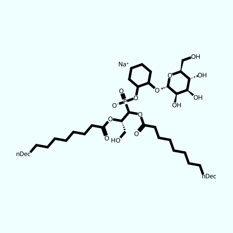 CCCCCCCCCCCCCCCCCC(=O)OC([C@H](CO)OC(=O)CCCCCCCCCCCCCCCCC)P(=O)([O-])OC1CCCCC1O[C@@H]1O[C@@H](CO)[C@H](O)[C@@H](O)[C@H]1O.[Na+]